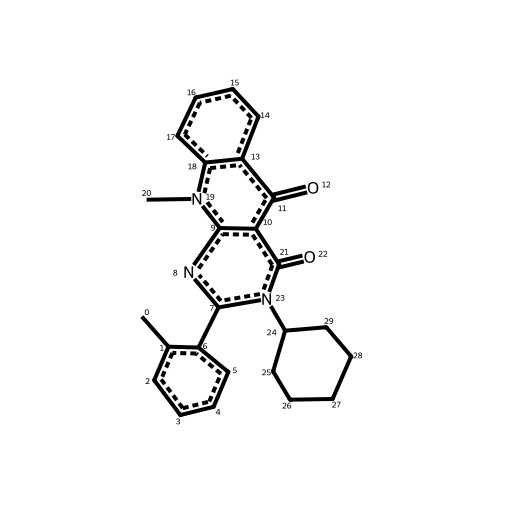 Cc1ccccc1-c1nc2c(c(=O)c3ccccc3n2C)c(=O)n1C1CCCCC1